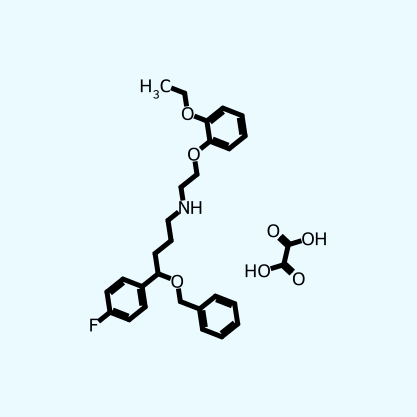 CCOc1ccccc1OCCNCCCC(OCc1ccccc1)c1ccc(F)cc1.O=C(O)C(=O)O